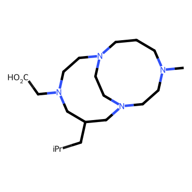 CC(C)CC1CN2CCN(C)CCCN(CC2)CCN(CC(=O)O)C1